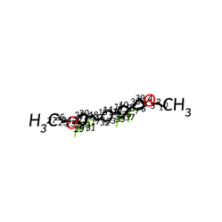 CCCCOc1ccc(-c2ccc(C3CCC(CCc4ccc(OCCCC)c(F)c4F)CC3)c(F)c2F)cc1